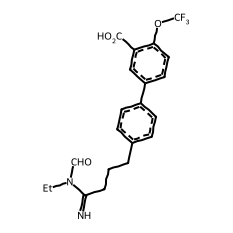 CCN(C=O)C(=N)CCCc1ccc(-c2ccc(OC(F)(F)F)c(C(=O)O)c2)cc1